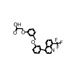 O=C(O)COc1cccc(COc2cccc(-c3ccnc4c(C(F)(F)F)cccc34)c2)c1